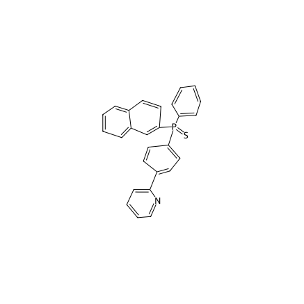 S=P(c1ccccc1)(c1ccc(-c2ccccn2)cc1)c1ccc2ccccc2c1